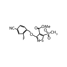 COC(=O)c1c(OCc2ccc(C#N)cc2F)nsc1S(C)(=O)=O